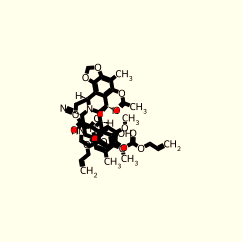 C=CCOC(=O)Oc1cc2c(cc1OC)[C@@]1(CS[C@@H]3c4c(OC(C)=O)c(C)c5c(c4[C@H](COC1=O)N1C3[C@H]3c4c(cc(C)c(OC)c4O)C[C@H]([C@@H]1C#N)N3C(=O)OCC=C)OCO5)NCC2